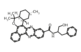 C[C@H]1CC[C@H]2[C@H](C1)c1c(c3ccccc3c3nc4ccc(C(=O)NC(CO)Cc5ccccc5)cc4nc13)OC2(C)C